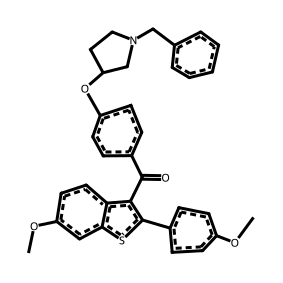 COc1ccc(-c2sc3cc(OC)ccc3c2C(=O)c2ccc(OC3CCN(Cc4ccccc4)C3)cc2)cc1